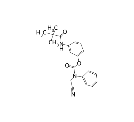 CC(C)(C)C(=O)Nc1cccc(OC(=O)N(CC#N)c2ccccc2)c1